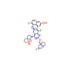 CCc1c(F)ccc2cc(O)cc(-c3ncc4c(N5CCC6(CCCS6(=O)=O)C5)nc(OC[C@@]56CCCN5C[C@H](F)C6)nc4c3F)c12